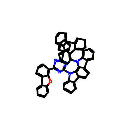 c1ccc(-c2nc(-c3cccc4c3oc3ccccc34)nc(-n3c4ccccc4c4ccc5c6ccccc6n(-c6cccc7c8ccccc8c8ccccc8c67)c5c43)n2)cc1